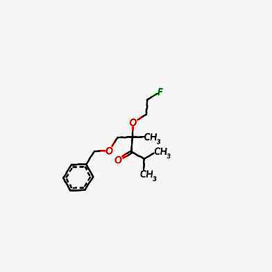 CC(C)C(=O)C(C)(COCc1ccccc1)OCCF